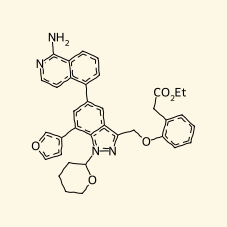 CCOC(=O)Cc1ccccc1OCc1nn(C2CCCCO2)c2c(-c3ccoc3)cc(-c3cccc4c(N)nccc34)cc12